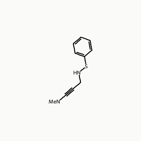 CNC#CCNSc1ccccc1